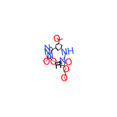 COCCOC1C[C@H]2COc3nc4c(cnn4cc3OC)-c3cc(cc(C(C)=O)c3)NCCN2C1=O